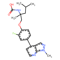 CC(C)CC(C)(COc1ccc(-c2ccnc3c2cnn3C)cc1F)NC(=O)O